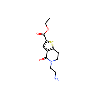 CCOC(=O)c1cc2c(s1)CCN(CCN)C2=O